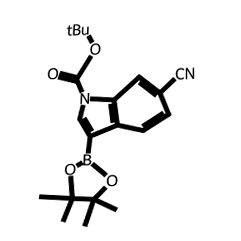 CC(C)(C)OC(=O)n1cc(B2OC(C)(C)C(C)(C)O2)c2ccc(C#N)cc21